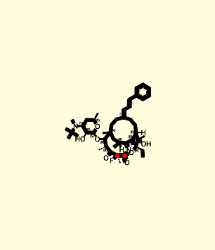 CC[C@H]1OC(=O)[C@@](C)(F)C(=O)[C@H](C)[C@@H](O[C@@H]2O[C@H](C)C[C@H](N(C)C(C)(C)C)[C@H]2O)[C@]2(C)CC/C(=C/C=C/c3ccccc3)CC[C@H]([C@@H](C)/C(=N/C(C)=O)[C@H](C)C2)[C@]1(C)O